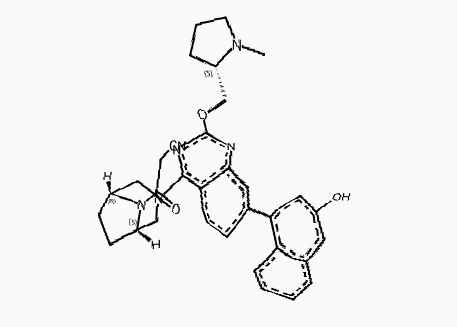 CN1CCC[C@H]1COc1nc(N2C[C@H]3CC[C@@H](C2)N3C(=O)CC#N)c2ccc(-c3cc(O)cc4ccccc34)cc2n1